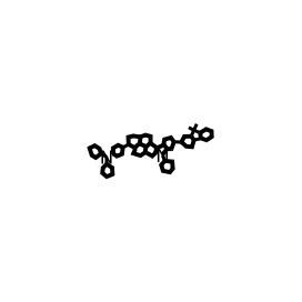 CC1(C)c2ccccc2-c2ccc(-c3ccc4c5c6ccc7ccc(-c8ccc(N(c9ccccc9)c9ccccc9)cc8)c8ccc(cc5n(-c5ccccc5)c4c3)c6c78)cc21